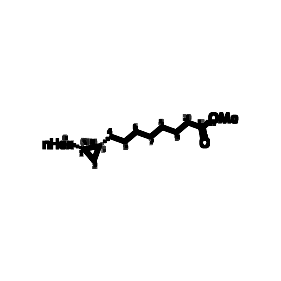 CCCCCC[C@H]1C[C@H]1CCCCCCCC(=O)OC